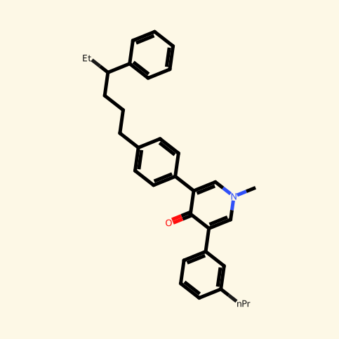 CCCc1cccc(-c2cn(C)cc(-c3ccc(CCCC(CC)c4ccccc4)cc3)c2=O)c1